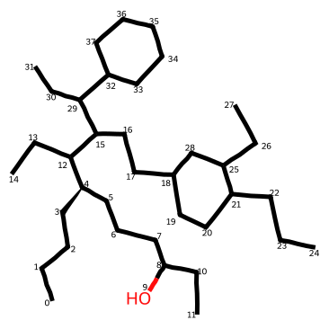 CCCC[C@H](CCCC(O)CC)C(CC)C(CCC1CCC(CCC)C(CC)C1)C(CC)C1CCCCC1